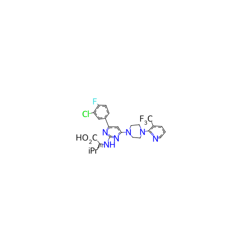 CC(C)[C@H](Nc1nc(-c2ccc(F)c(Cl)c2)cc(N2CCN(c3ncccc3C(F)(F)F)CC2)n1)C(=O)O